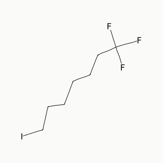 FC(F)(F)CCCCCCI